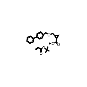 C=CC(=O)OC(C)(C)C.O=C(O)C1CC1COCc1ccc(-c2ccccc2)cc1